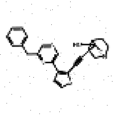 OC1(C#Cc2sccc2-c2cncc(Cc3ccccc3)n2)CN2CCC1CC2